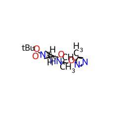 Cc1cncnc1OCC(C)(C)NC(=O)[C@H]1[C@@H]2CN(C(=O)OC(C)(C)C)C[C@@H]21